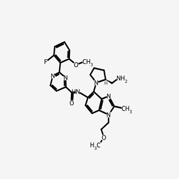 COCCn1c(C)nc2c(N3CCC[C@H]3CN)c(NC(=O)c3ccnc(-c4c(F)cccc4OC)n3)ccc21